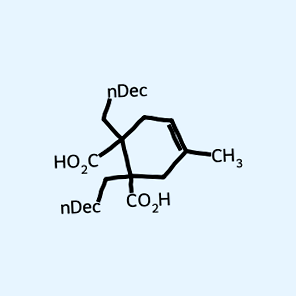 CCCCCCCCCCCC1(C(=O)O)CC=C(C)CC1(CCCCCCCCCCC)C(=O)O